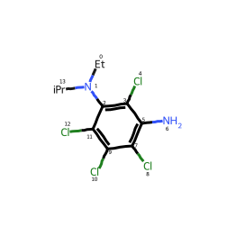 CCN(c1c(Cl)c(N)c(Cl)c(Cl)c1Cl)C(C)C